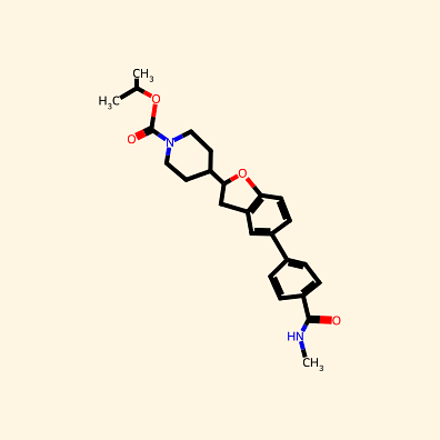 CNC(=O)c1ccc(-c2ccc3c(c2)CC(C2CCN(C(=O)OC(C)C)CC2)O3)cc1